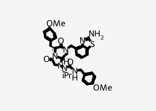 COc1ccc(CNC(=O)N(C(C)C)N2CC(=O)N3[C@@H](Cc4ccc(OC)cc4)C(=O)N(Cc4cccc5sc(N)nc45)C[C@@H]32)cc1